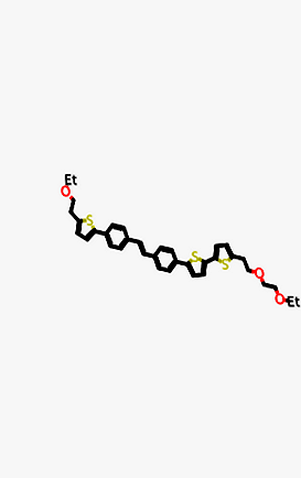 CCOCCOCCc1ccc(-c2ccc(-c3ccc(/C=C/c4ccc(-c5ccc(CCOCC)s5)cc4)cc3)s2)s1